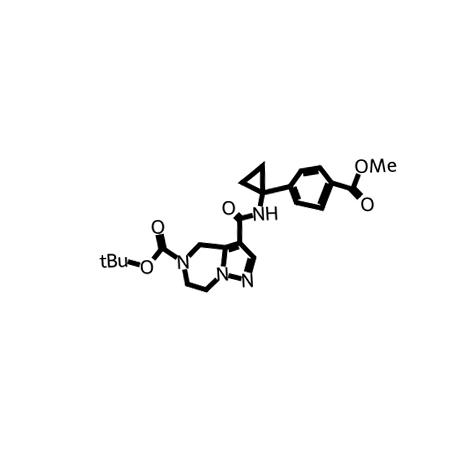 COC(=O)c1ccc(C2(NC(=O)c3cnn4c3CN(C(=O)OC(C)(C)C)CC4)CC2)cc1